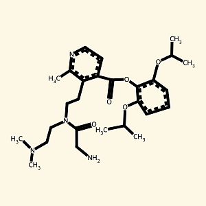 Cc1nccc(C(=O)Oc2c(OC(C)C)cccc2OC(C)C)c1CCN(CCN(C)C)C(=O)CN